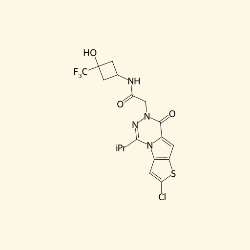 CC(C)c1nn(CC(=O)NC2CC(O)(C(F)(F)F)C2)c(=O)c2cc3sc(Cl)cc3n12